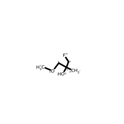 [CH2]C(O)(CF)COC